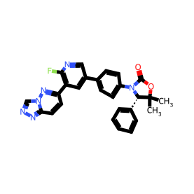 CC1(C)OC(=O)N(c2ccc(-c3cnc(F)c(-c4ccc5nncn5n4)c3)cc2)[C@H]1c1ccccc1